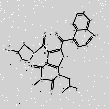 CC(C)Cn1c(=O)n(C)c(=O)c2c(C(=O)N3CC(O)CO3)c(C(=O)c3ccnc4ccccc34)sc21